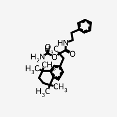 CC(Cc1ccc2c(c1)C(C)(C)CCC2(C)C)(OC(N)=O)C(=O)NCCc1ccccc1